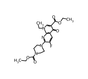 CCOC(=O)c1cn(CC)c2nc(N3CCN(C(=O)OCC)CC3)c(F)cc2c1=O